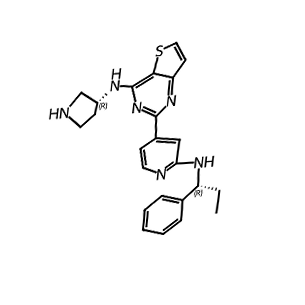 CC[C@@H](Nc1cc(-c2nc(N[C@@H]3CCNC3)c3sccc3n2)ccn1)c1ccccc1